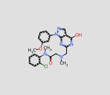 COc1cccc(-n2ncc3c(O)nc(CN(C)CC(=O)N(C)c4ccccc4Cl)nc32)c1